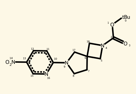 CC(C)(C)OC(=O)N1CC2(CCN(c3ccc([N+](=O)[O-])cn3)C2)C1